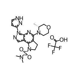 C[C@@H]1COCCN1c1nc2c(cnn2-c2cc[nH]n2)c2c1CCN2S(=O)(=O)N(C)C.O=C(O)C(F)(F)F